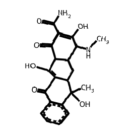 CNC1C(O)=C(C(N)=O)C(=O)C2C(O)=C3C(=O)c4ccccc4C(C)(O)C3CC12